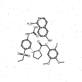 CCS(=O)(=O)c1ccc(NC(=O)O)cc1[C@H]1CCCN1C(=O)[C@H](Nc1ccc2c(N)nccc2c1)c1cc(OC)c(OC)cc1F